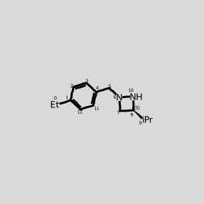 CCc1ccc(CN2C[C@H](C(C)C)N2)cc1